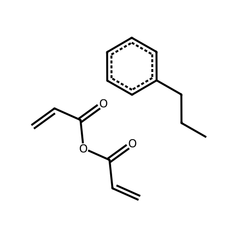 C=CC(=O)OC(=O)C=C.CCCc1ccccc1